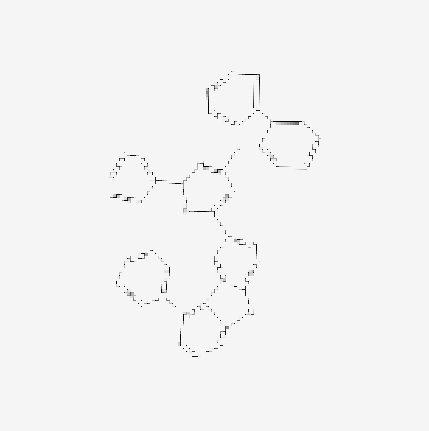 c1ccc(-c2cccc3oc4ccc(C5=NC(n6c7ccccc7c7ccccc76)=NC(c6ccccc6)N5)cc4c23)cc1